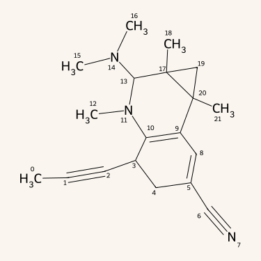 CC#CC1CC(C#N)=CC2=C1N(C)C(N(C)C)C1(C)CC21C